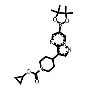 CC1(C)OB(c2cnc3c(C4CCN(C(=O)OC5CC5)CC4)cnn3c2)OC1(C)C